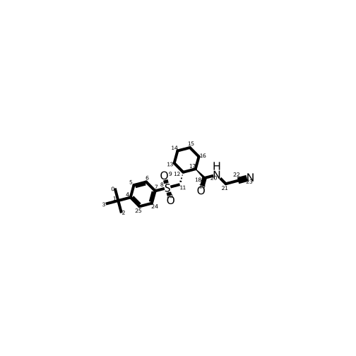 CC(C)(C)c1ccc(S(=O)(=O)C[C@@H]2CCCC[C@H]2C(=O)NCC#N)cc1